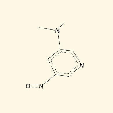 CN(C)c1cncc(N=O)c1